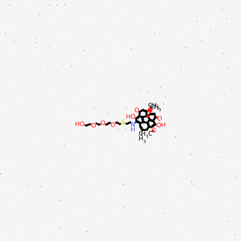 COc1c(O)c2c(=O)cc(OC)c3c4c(OC)cc(=O)c5c(O)c(NCCSCCOCCOCCOCCO)c6c(c(c1CC(C)=C6)c23)c54